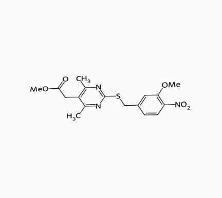 COC(=O)Cc1c(C)nc(SCc2ccc([N+](=O)[O-])c(OC)c2)nc1C